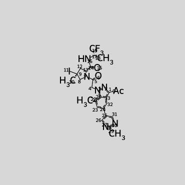 CC(=O)c1nn(CC(=O)N2C[C@](C)(I)C[C@H]2C(=O)N[C@@H](C)C(F)(F)F)c2c(C)cc(-c3cnc(C)nc3)cc12